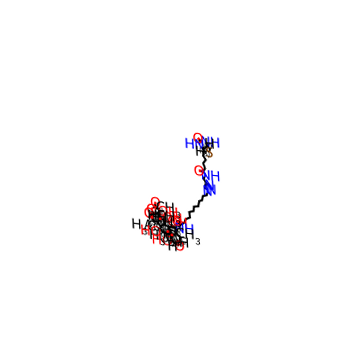 CC(=O)O[C@H]1[C@H]2[C@@H]([C@@H](O)[C@H](NC(=O)CCCCCCCCCCCn3cc(CNC(=O)CCCC[C@@H]4SC[C@@H]5NC(=O)N[C@@H]54)nn3)[C@@]3(C)C[C@@H]4O[C@@H]4[C@H](O)[C@]23C)[C@@H]2[C@@H](O)[C@@H]3[C@H]([C@H](C)[C@H]4O[C@]45OC(=O)[C@@](C)(O)[C@]35C)[C@@]2(C(C)=O)[C@H]1O